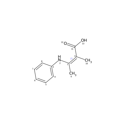 C/C(Nc1ccccc1)=C(\C)C(=O)O